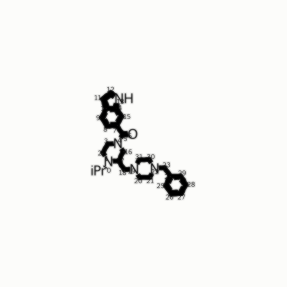 CC(C)N1CCN(C(=O)c2ccc3cc[nH]c3c2)CC1CN1CCN(Cc2ccccc2)CC1